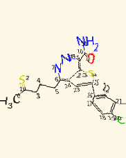 CC(=S)CCCc1nnc(C(N)=O)c2sc(-c3ccc(Cl)cc3)cc12